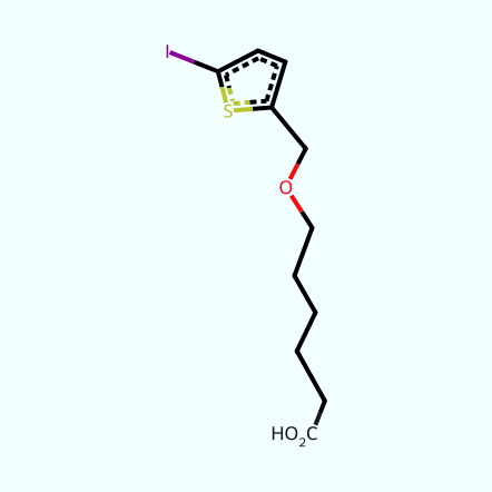 O=C(O)CCCCCOCc1ccc(I)s1